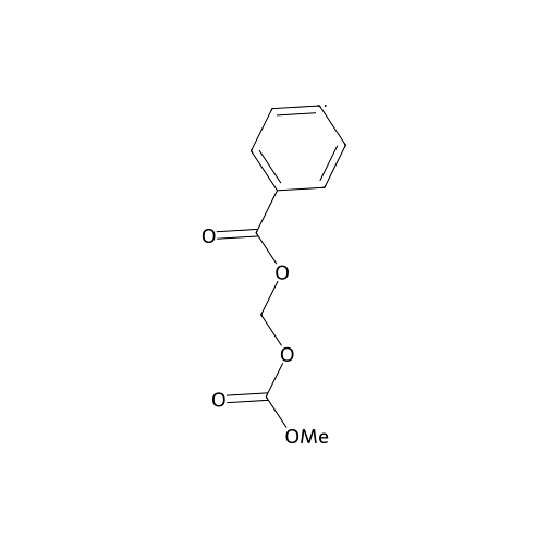 COC(=O)OCOC(=O)c1cc[c]cc1